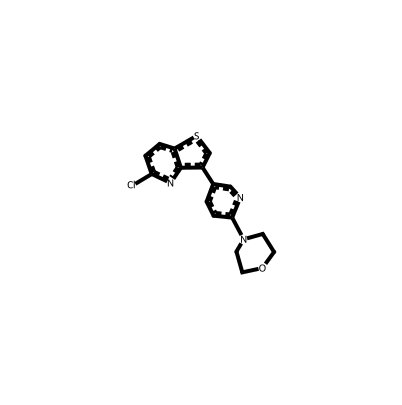 Clc1ccc2scc(-c3ccc(N4CCOCC4)nc3)c2n1